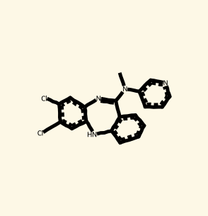 CN(C1=Nc2cc(Cl)c(Cl)cc2Nc2ccccc21)c1cccnc1